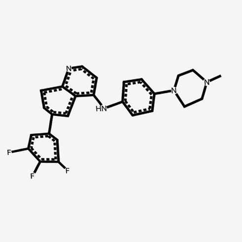 CN1CCN(c2ccc(Nc3ccnc4ccc(-c5cc(F)c(F)c(F)c5)cc34)cc2)CC1